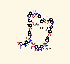 COc1c(NC(=O)CN2CCC3(CC2)CC(COc2ccc(-c4ccc(N5CCc6cccc(C(=O)Nc7nc8ccccc8s7)c6C5)nc4C(=O)O)c(C)c2)C3)ccc2c(C3CCC(=O)NC3=O)nn(C)c12.COc1c(NC(=O)CN2CCC3(CC2)CC(COc2ccc(-c4ccc(N5CCc6cccc(C(=O)Nc7nc8ccccc8s7)c6C5)nc4C(=O)OC(C)(C)C)c(C)c2)C3)ccc2c(C3CCC(=O)NC3=O)nn(C)c12